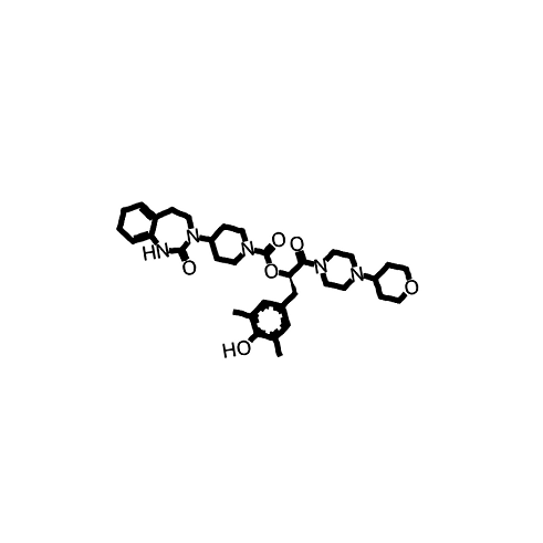 Cc1cc(C[C@@H](OC(=O)N2CCC(N3CCC4=CCCC=C4NC3=O)CC2)C(=O)N2CCN(C3CCOCC3)CC2)cc(C)c1O